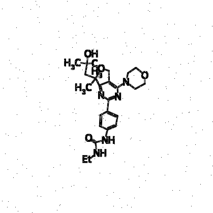 CCNC(=O)Nc1ccc(-c2nc(N3CCOCC3)c3c(n2)C(C)(CC(C)(C)O)OC3)cc1